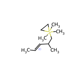 C/C=C/C(C)CS1(C)(C)(C)CC1